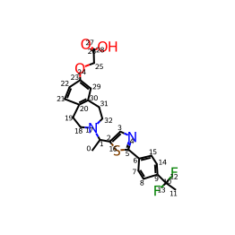 CC(c1cnc(-c2ccc(C(C)(F)F)cc2)s1)N1CCc2ccc(OCC(=O)O)cc2CC1